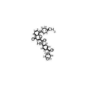 CN1CCN(c2cccc3c(=O)cc(C(=O)Nc4ccc(C(=O)N5CCOCC5)cc4)oc23)CC1